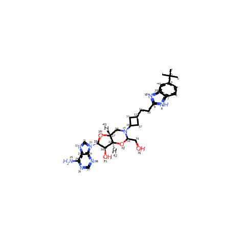 CC(C)(C)c1ccc2[nH]c(CCC3CC(N4C[C@H]5O[C@@H](n6cnc7c(N)ncnc76)[C@H](O)[C@@H]5OC4CO)C3)nc2c1